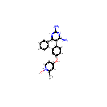 Nc1nc(N)c(-c2ccc(Oc3cc[n+]([O-])c(C(F)(F)F)c3)cc2)c(-c2ccccc2)n1